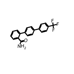 NC(=O)c1ccccc1-c1ccc(-c2ccc(C(F)(F)F)cc2)cc1